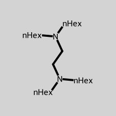 CCCCCCN(CCCCCC)CCN(CCCCCC)CCCCCC